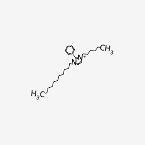 CCCCCCCCCCCn1cc[n+](CCCCCC)c1-c1ccccc1